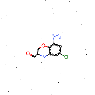 Nc1cc(Cl)cc2c1OCC(C=O)N2